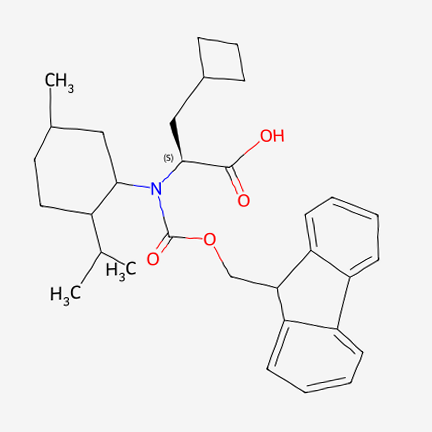 CC1CCC(C(C)C)C(N(C(=O)OCC2c3ccccc3-c3ccccc32)[C@@H](CC2CCC2)C(=O)O)C1